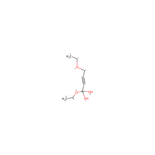 CCOCC#CC(O)(O)OCC